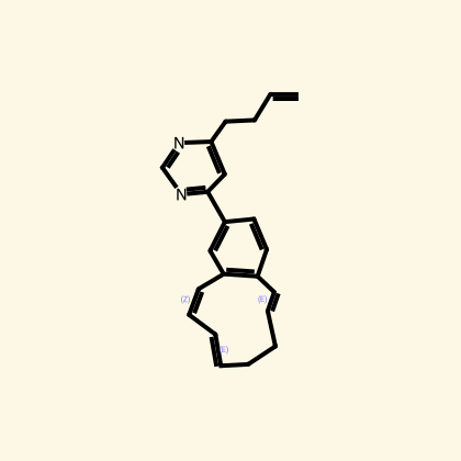 C=CCCc1cc(-c2ccc3c(c2)/C=C\C=C\CC/C=C/3)ncn1